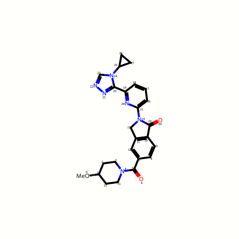 COC1CCN(C(=O)c2ccc3c(c2)CN(c2cccc(-c4nncn4C4CC4)n2)C3=O)CC1